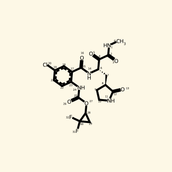 CNC(=O)C(=O)[C@H](C[C@@H]1CCNC1=O)NC(=O)c1cc(Cl)ccc1NC(=O)OC1CC1(F)F